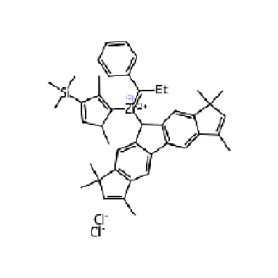 CC/[C](c1ccccc1)=[Zr+2](/[C]1=C(C)C([Si](C)(C)C)=CC1C)[CH]1c2cc3c(cc2-c2cc4c(cc21)C(C)(C)C=C4C)C(C)=CC3(C)C.[Cl-].[Cl-]